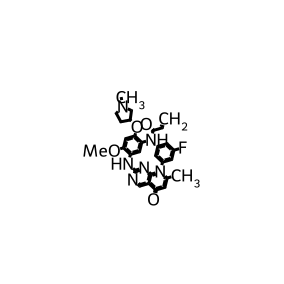 C=CC(=O)Nc1cc(Nc2ncc3c(=O)cc(C)n(-c4cccc(F)c4)c3n2)c(OC)cc1OC1CCN(C)C1